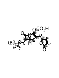 CC(C)(C)[Si](C)(C)OC[C@H]1C(=O)N2C(OC(=O)O)=C(C[C@H]3C=CC(=O)O3)S[C@H]12